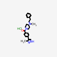 Cc1n[nH]cc1-c1ccc(C(=O)N2CCC(N(C)CCc3ccccc3)CC2)cc1.Cl